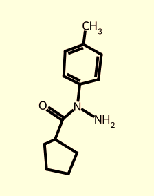 Cc1ccc(N(N)C(=O)C2CCCC2)cc1